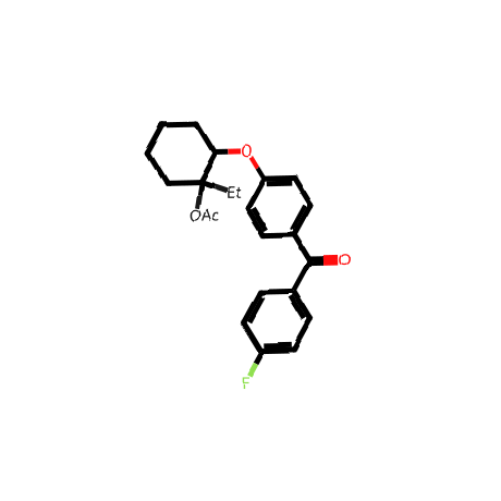 CCC1(OC(C)=O)CCCCC1Oc1ccc(C(=O)c2ccc(F)cc2)cc1